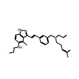 CCCNc1ccc2[nH]nc(/C=C/c3cccc(CN(CCC)CCC=C(C)C)c3)c2c1C